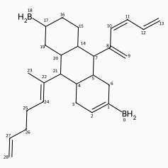 BC1=CCC2C(C1)C(C(=C)/C=C\C=C)C1CCC(B)CC1C2/C(C)=C/CCC=C